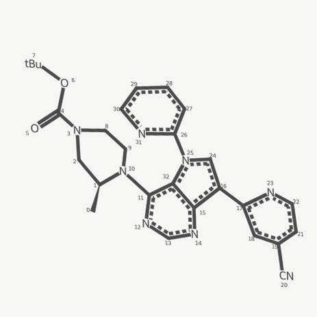 C[C@H]1CN(C(=O)OC(C)(C)C)CCN1c1ncnc2c(-c3cc(C#N)ccn3)cn(-c3ccccn3)c12